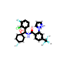 O=C(NC(c1cccc(F)c1Cl)[C@]1(O)CC[C@H](F)CC1)c1ccc(C(F)(F)F)cc1-n1cccn1